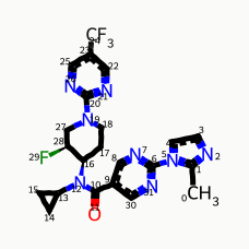 Cc1nccn1-c1ncc(C(=O)N(C2CC2)[C@@H]2CCN(c3ncc(C(F)(F)F)cn3)C[C@@H]2F)cn1